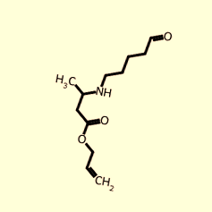 C=CCOC(=O)CC(C)NCCCCC=O